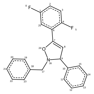 Fc1ccc(F)c(C2=CC(c3ccccc3)N(Cc3ccccc3)O2)c1